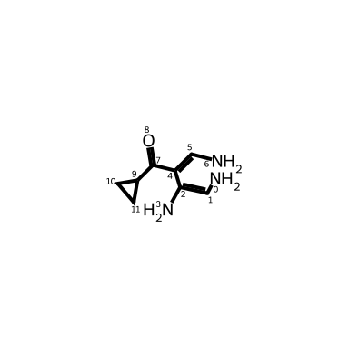 N/C=C(N)\C(=C/N)C(=O)C1CC1